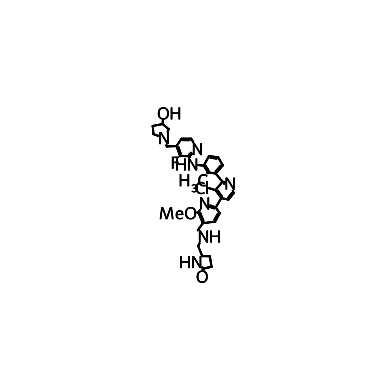 COc1nc(-c2ccnc(-c3cccc(Nc4nccc(CN5CCC(O)C5)c4F)c3C)c2Cl)ccc1CNCC1CCC(=O)N1